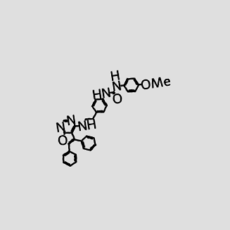 COc1ccc(NC(=O)Nc2ccc(CCNc3ncnc4oc(-c5ccccc5)c(-c5ccccc5)c34)cc2)cc1